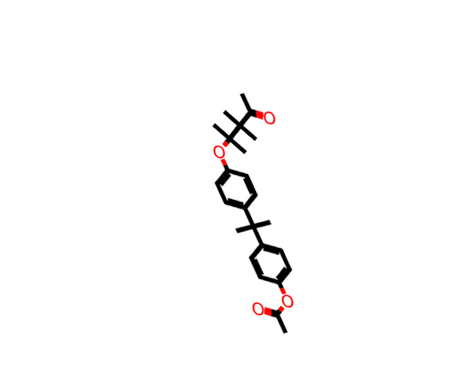 CC(=O)Oc1ccc(C(C)(C)c2ccc(OC(C)(C)C(C)(C)C(C)=O)cc2)cc1